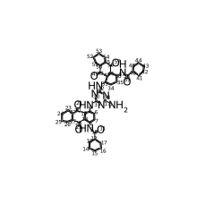 Nc1nc(Nc2ccc(NC(=O)c3ccccc3)c3c2C(=O)c2ccccc2C3=O)nc(Nc2ccc(NC(=O)c3ccccc3)c3c2C(=O)c2ccccc2C3=O)n1